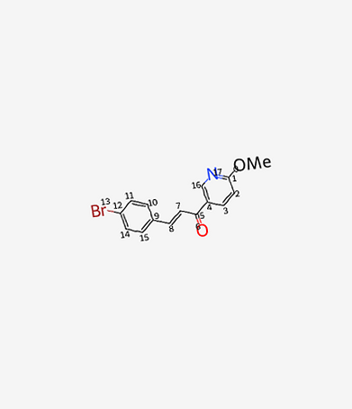 COc1ccc(C(=O)C=Cc2ccc(Br)cc2)cn1